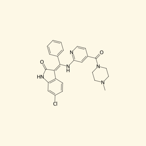 CN1CCN(C(=O)c2ccnc(NC(=C3C(=O)Nc4cc(Cl)ccc43)c3ccccc3)c2)CC1